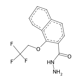 NNC(=O)c1ccc2ccccc2c1OCC(F)(F)F